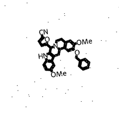 COc1ccc2[nH]c3c(c2c1)CC1c2cc(OCc4ccccc4)c(OC)cc2CCN1C3c1ccc(C#N)o1